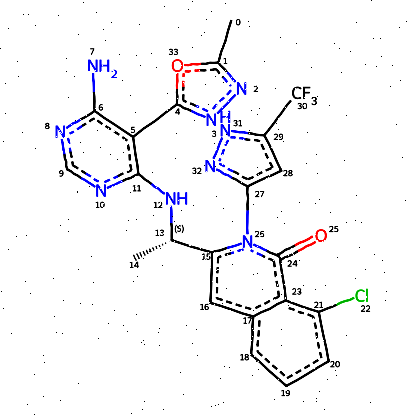 Cc1nnc(-c2c(N)ncnc2N[C@@H](C)c2cc3cccc(Cl)c3c(=O)n2-c2cc(C(F)(F)F)[nH]n2)o1